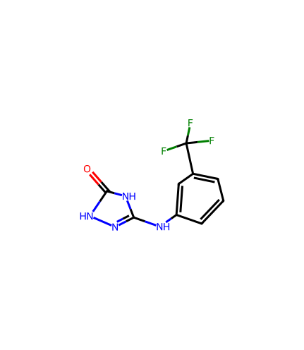 O=c1[nH]nc(Nc2cccc(C(F)(F)F)c2)[nH]1